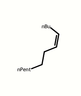 CCCC/C=C\CCCCCCC